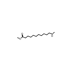 CNCCCCCCCCCCC(=O)OC